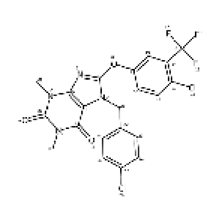 Cn1c(=O)c2c(nc(Oc3ccc(Cl)c(C(F)(F)F)c3)n2Cc2ccc(Cl)cc2)n(C)c1=O